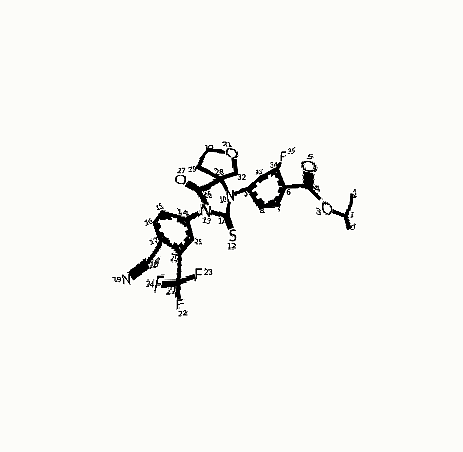 CC(C)OC(=O)c1ccc(N2C(=S)N(c3ccc(C#N)c(C(F)(F)F)c3)C(=O)C23CCOC3)cc1F